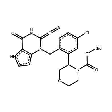 CC(C)(C)OC(=O)N1CCOCC1c1cc(Cl)ccc1CN1C(=C=S)NC(=O)c2[nH]ccc21